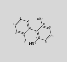 Cc1ccccc1-c1c(S)cccc1Br